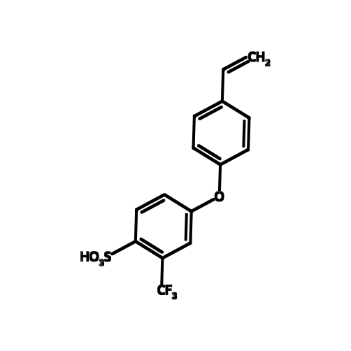 C=Cc1ccc(Oc2ccc(S(=O)(=O)O)c(C(F)(F)F)c2)cc1